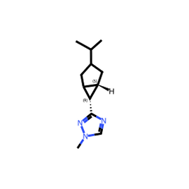 CC(C)C1CC2[C@@H](c3ncn(C)n3)[C@H]2C1